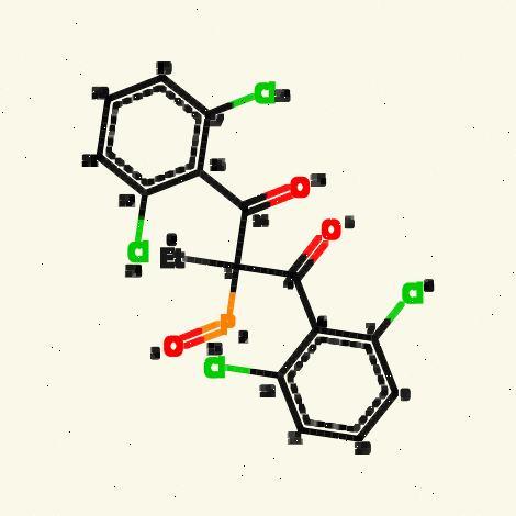 CCC(P=O)(C(=O)c1c(Cl)cccc1Cl)C(=O)c1c(Cl)cccc1Cl